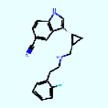 N#Cc1ccc2[nH]cc([C@@H]3C[C@H]3CNCCc3ccccc3F)c2c1